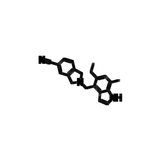 CCc1cc(C)c2[nH]ccc2c1CN1Cc2ccc(C#N)cc2C1